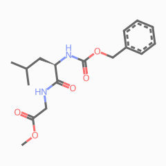 COC(=O)CNC(=O)[C@@H](CC(C)C)NC(=O)OCc1ccccc1